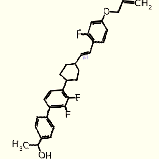 C=CCOc1ccc(/C=C/C2CCC(c3ccc(-c4ccc(C(C)O)cc4)c(F)c3F)CC2)c(F)c1